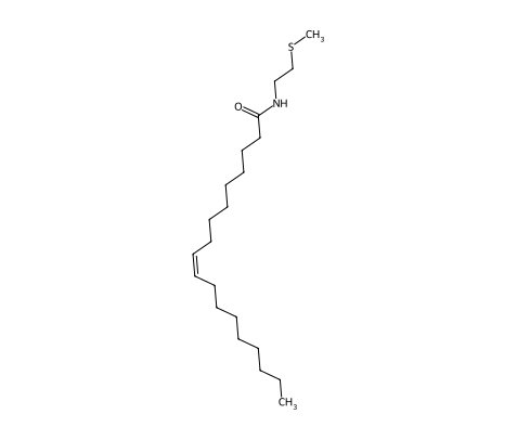 CCCCCCCC/C=C\CCCCCCCC(=O)NCCSC